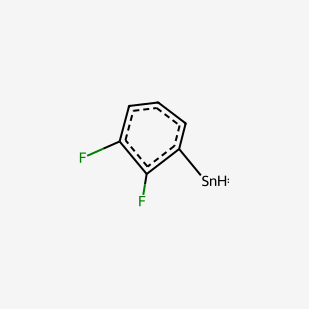 Fc1ccc[c]([SnH])c1F